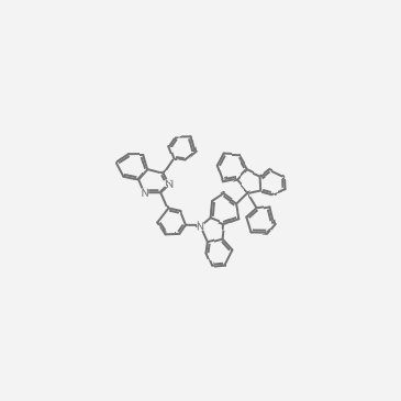 c1ccc(-c2nc(-c3cccc(-n4c5ccccc5c5cc(C6(c7ccccc7)c7ccccc7-c7ccccc76)ccc54)c3)nc3ccccc23)cc1